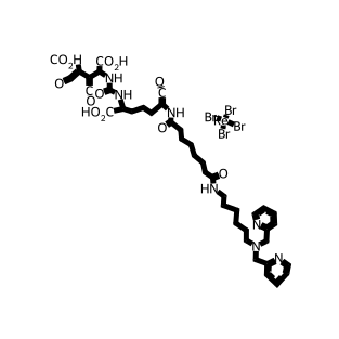 O=C=C(CCCC(NC(=O)NC(C(=O)O)C(=C=O)C(=C=O)C(=O)O)C(=O)O)NC(=O)CCCCCCC(=O)NCCCCCCN(Cc1ccccn1)Cc1ccccn1.[Br][Re]([Br])([Br])[Br]